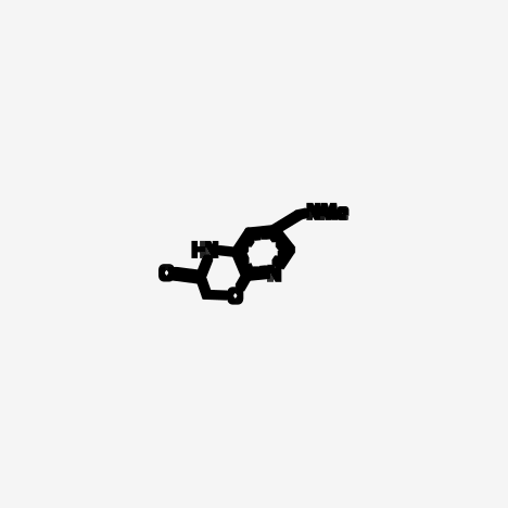 CNCc1cnc2c(c1)NC(=O)CO2